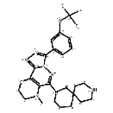 CN1CCOc2c1c(N1CCCC3(CCNCC3)C1)nn1c(-c3cccc(OC(F)(F)F)c3)nnc21